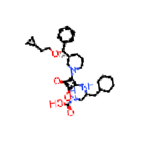 O=C(O)NCC(CC1CCCCC1)Nc1c(N2CCCC([C@H](OCCC3CC3)c3ccccc3)C2)c(=O)c1=O